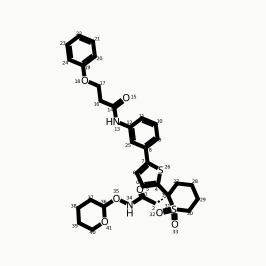 O=C(C[C@]1(c2ccc(-c3cccc(NC(=O)CCOc4ccccc4)c3)s2)CCCCS1(=O)=O)NOC1CCCCO1